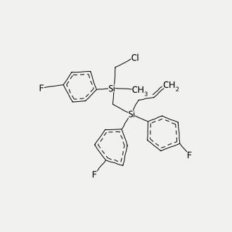 C=CC[Si](C[Si](C)(CCl)c1ccc(F)cc1)(c1ccc(F)cc1)c1ccc(F)cc1